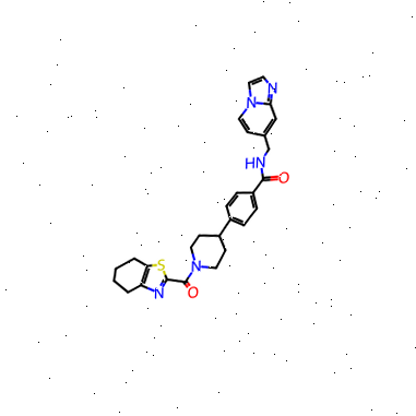 O=C(NCc1ccn2ccnc2c1)c1ccc(C2CCN(C(=O)c3nc4c(s3)CCCC4)CC2)cc1